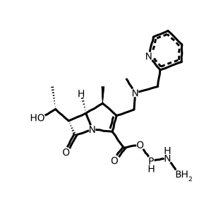 BNPOC(=O)C1=C(CN(C)Cc2ccccn2)[C@H](C)[C@@H]2[C@@H]([C@@H](C)O)C(=O)N12